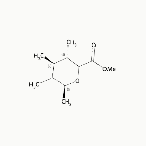 COC(=O)C1O[C@@H](C)C(C)[C@@H](C)[C@@H]1C